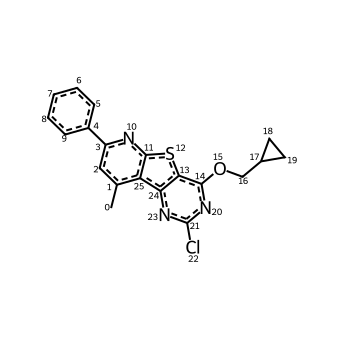 Cc1cc(-c2ccccc2)nc2sc3c(OCC4CC4)nc(Cl)nc3c12